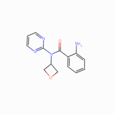 Nc1ccccc1C(=O)N(c1ncccn1)C1COC1